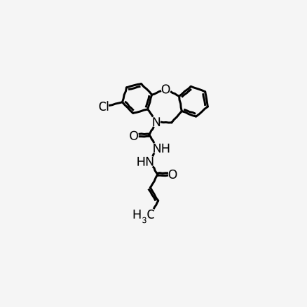 CC=CC(=O)NNC(=O)N1Cc2ccccc2Oc2ccc(Cl)cc21